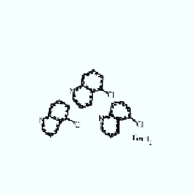 Clc1cccc2ncccc12.Clc1cccc2ncccc12.Clc1cccc2ncccc12.[GaH3]